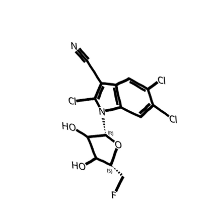 N#Cc1c(Cl)n([C@@H]2O[C@H](CF)C(O)C2O)c2cc(Cl)c(Cl)cc12